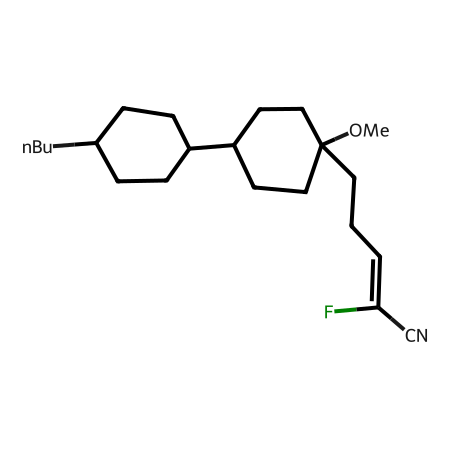 CCCCC1CCC(C2CCC(CCC=C(F)C#N)(OC)CC2)CC1